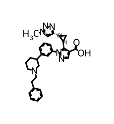 Cn1cc([C@@H]2C[C@H]2c2c(C(=O)O)cnn2-c2cccc(C3CCCN(CCc4ccccc4)C3)c2)nn1